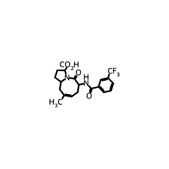 C/C1=C/CC(NC(=O)c2cccc(C(F)(F)F)c2)C(=O)N2C(CCC2C(=O)O)C1